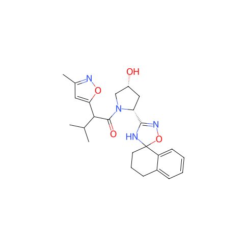 Cc1cc(C(C(=O)N2C[C@H](O)C[C@@H]2C2=NOC3(CCCc4ccccc43)N2)C(C)C)on1